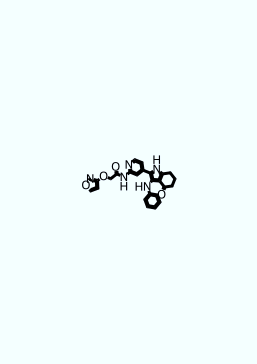 O=C(COc1ccon1)Nc1cc(-c2[nH]c3c(c2Nc2ccccc2)C(=O)CCC3)ccn1